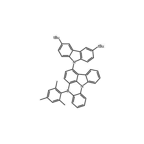 Cc1cc(C)c(B2c3ccccc3-n3c4ccccc4c4c(-n5c6ccc(C(C)(C)C)cc6c6cc(C(C)(C)C)ccc65)ccc2c43)c(C)c1